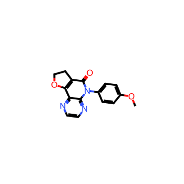 COc1ccc(-n2c(=O)c3c(c4nccnc42)OCC3)cc1